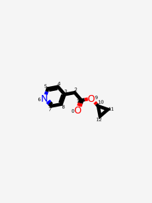 O=C(Cc1ccncc1)OC1CC1